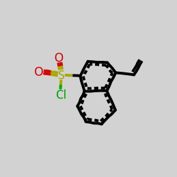 C=Cc1ccc(S(=O)(=O)Cl)c2ccccc12